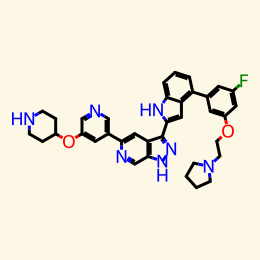 Fc1cc(OCCN2CCCC2)cc(-c2cccc3[nH]c(-c4n[nH]c5cnc(-c6cncc(OC7CCNCC7)c6)cc45)cc23)c1